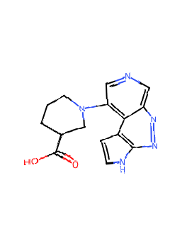 O=C(O)C1CCCN(c2cncc3nnc4[nH]ccc4c23)C1